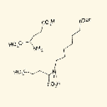 CCCCCCCCCCCCCCCCNC(CCC(=O)O)C(=O)O.NC(CCC(=O)O)C(=O)O